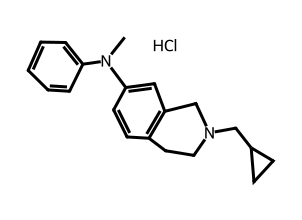 CN(c1ccccc1)c1ccc2c(c1)CN(CC1CC1)CC2.Cl